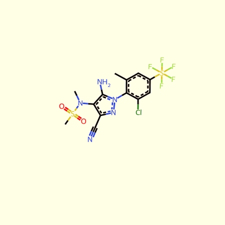 Cc1cc(S(F)(F)(F)(F)F)cc(Cl)c1-n1nc(C#N)c(N(C)S(C)(=O)=O)c1N